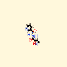 O=C(NNC(=O)c1ccno1)c1cccnc1